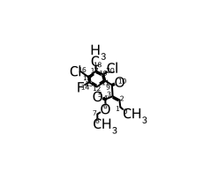 CCC=C(C(=O)OCC)C(=O)c1cc(F)c(Cl)c(C)c1Cl